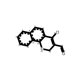 O=CC1=C(Cl)c2ccc3ccccc3c2OC1